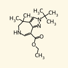 CCOC(=O)C1=CNCC(C)(C)c2cn(C(C)(C)C)nc21